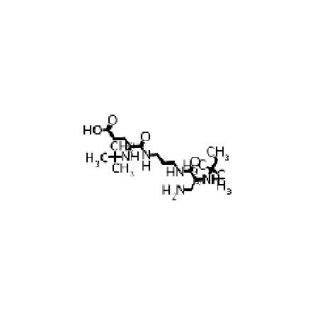 CCC(C)(C)N[C@@H](CN)C(=O)NCCCNC(=O)[C@H](CCC(=O)O)NC(C)(C)C